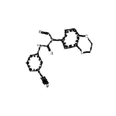 N#Cc1cccc(NC(=O)N(C=O)c2ccc3c(c2)OCCO3)c1